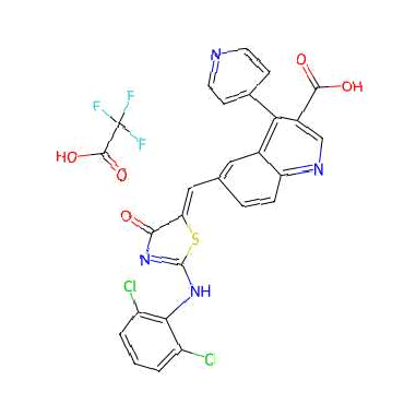 O=C(O)C(F)(F)F.O=C1N=C(Nc2c(Cl)cccc2Cl)S/C1=C\c1ccc2ncc(C(=O)O)c(-c3ccncc3)c2c1